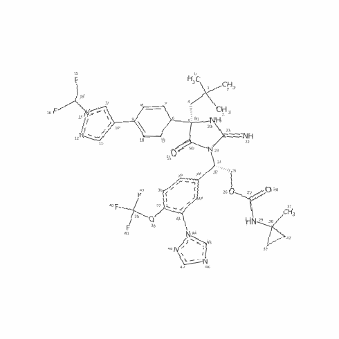 CC(C)(C)C[C@]1(C2C=CC(c3cnn(C(F)F)c3)=CC2)NC(=N)N([C@H](COC(=O)NC2(C)CC2)c2ccc(OC(F)(F)F)c(-n3cncn3)c2)C1=O